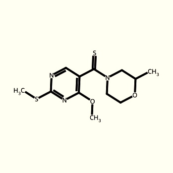 COc1nc(SC)ncc1C(=S)N1CCOC(C)C1